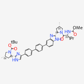 COC(=O)N[C@H](C(=O)N1C[C@@H](C)C[C@H]1c1nc2cc(-c3ccc(-c4ccc(-c5c[nH]c([C@@H]6C[C@H](C)CN6C(=O)OC(C)(C)C)n5)cc4)cc3)ccc2[nH]1)C(C)C